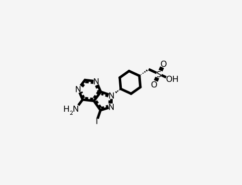 Nc1ncnc2c1c(I)nn2[C@H]1CC[C@@H](CS(=O)(=O)O)CC1